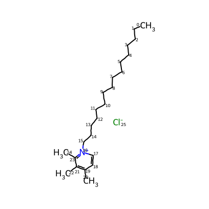 CCCCCCCCCCCCCCCC[n+]1ccc(C)c(C)c1C.[Cl-]